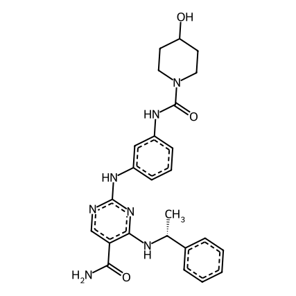 C[C@@H](Nc1nc(Nc2cccc(NC(=O)N3CCC(O)CC3)c2)ncc1C(N)=O)c1ccccc1